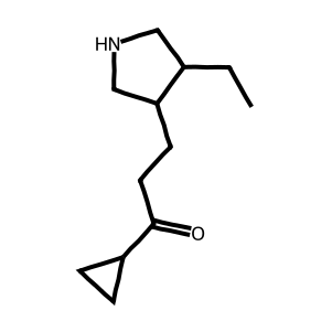 CCC1CNCC1CCC(=O)C1CC1